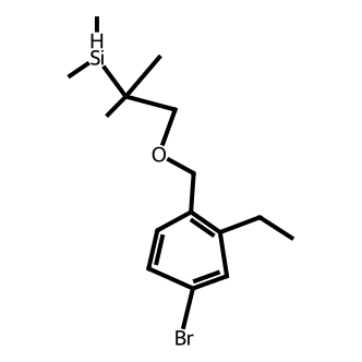 CCc1cc(Br)ccc1COCC(C)(C)[SiH](C)C